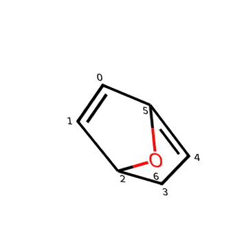 C1=CC2CC=C1O2